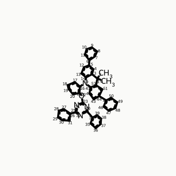 CC1(C)c2cc(-c3ccccc3)ccc2N(c2ccccc2Oc2nc(-c3ccccc3)nc(-c3ccccc3)n2)c2ccc(-c3ccccc3)cc21